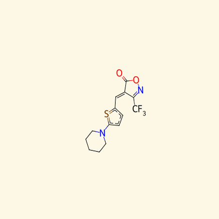 O=C1ON=C(C(F)(F)F)/C1=C\c1ccc(N2CCCCC2)s1